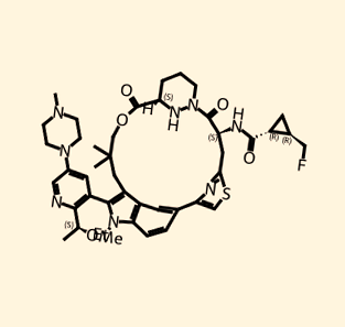 CCn1c(-c2cc(N3CCN(C)CC3)cnc2[C@H](C)OC)c2c3cc(ccc31)-c1csc(n1)C[C@H](NC(=O)[C@@H]1C[C@H]1CF)C(=O)N1CCC[C@H](N1)C(=O)OCC(C)(C)C2